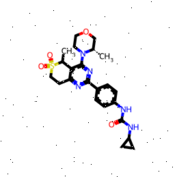 CC1c2c(nc(-c3ccc(NC(=O)NC4CC4)cc3)nc2N2CCOC[C@@H]2C)CCS1(=O)=O